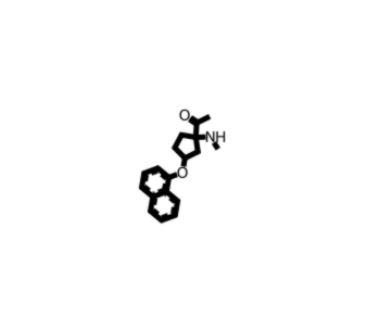 CNC1(C(C)=O)CCC(Oc2cccc3ccccc23)C1